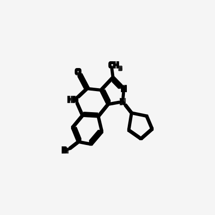 Cc1nn(C2CCCC2)c2c1c(=O)[nH]c1cc(Br)ccc12